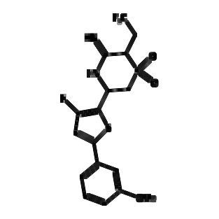 COc1cccc(-c2cc(F)c(C3CS(=O)(=O)C(CC(F)(F)F)C(=N)N3)s2)c1